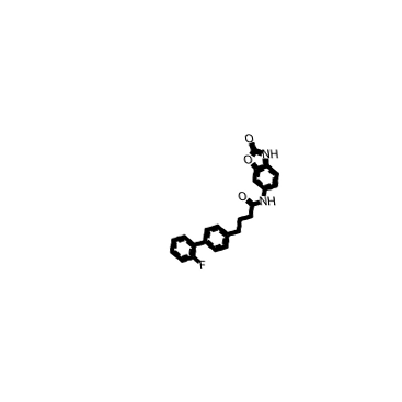 O=C(CCCc1ccc(-c2ccccc2F)cc1)Nc1ccc2[nH]c(=O)oc2c1